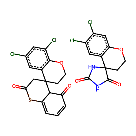 O=C1CC2(CCOc3c(Cl)cc(Cl)cc32)C2C(=O)C=CC=C2S1.O=C1NC(=O)C2(CCOc3cc(Cl)c(Cl)cc32)N1